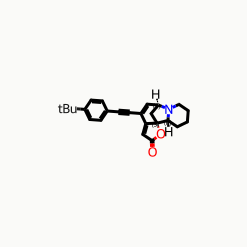 CC(C)(C)c1ccc(C#CC2=C[C@@H]3C[C@@]4(OC(=O)C=C24)[C@H]2CCCCN32)cc1